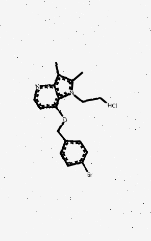 CCCn1c(C)c(C)c2nccc(OCc3ccc(Br)cc3)c21.Cl